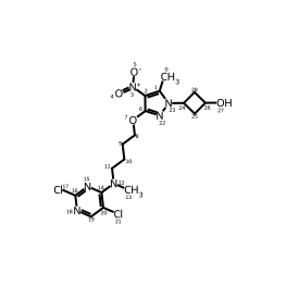 Cc1c([N+](=O)[O-])c(OCCCCN(C)c2nc(Cl)ncc2Cl)nn1C1CC(O)C1